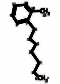 [CH2]CCCCCCc1ccccc1C